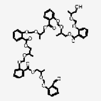 CC(CO)OCOc1ccccc1C(=O)OCC(C)OCOc1ccccc1C(=O)OCC(C)OCOc1ccccc1C(=O)OCC(C)OCOc1ccccc1C(=O)OCC(C)OCOc1ccccc1C=O